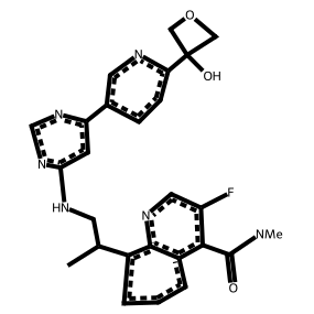 CNC(=O)c1c(F)cnc2c(C(C)CNc3cc(-c4ccc(C5(O)COC5)nc4)ncn3)cccc12